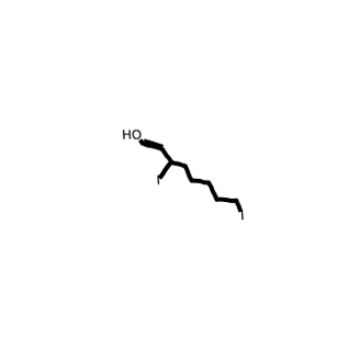 OC=CC(I)CCCCCI